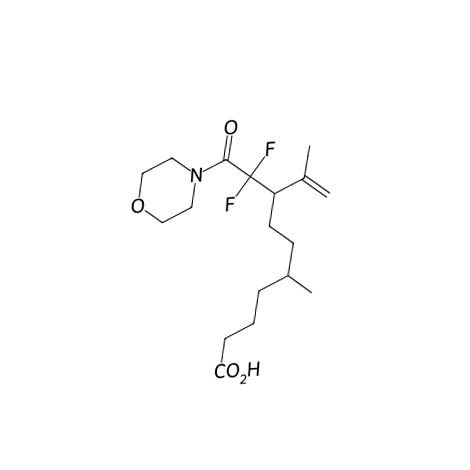 C=C(C)C(CCC(C)CCCC(=O)O)C(F)(F)C(=O)N1CCOCC1